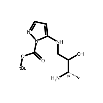 C[C@H](N)C(O)CNc1ccnn1C(=O)OC(C)(C)C